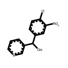 O=[N+]([O-])c1cc(C(O)c2cccnc2)ccc1Cl